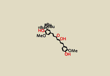 CCC[CH2][Sn]([CH2]CCC)([CH2]CCC)[c]1cc(C=CC(=O)C=C(O)C=Cc2ccc(O)c(OC)c2)cc(OC)c1O